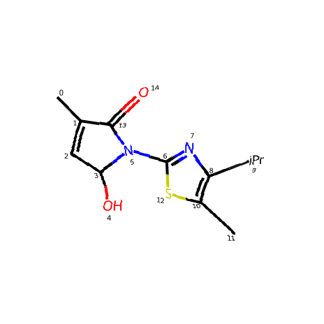 CC1=CC(O)N(c2nc(C(C)C)c(C)s2)C1=O